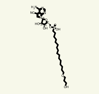 N#Cc1cn([C@@H]2O[C@H](COP(=O)(O)CCCCCCCCCCCCCCCCOCCCO)[C@@H](O)[C@H]2O)c2ncnc(N)c12